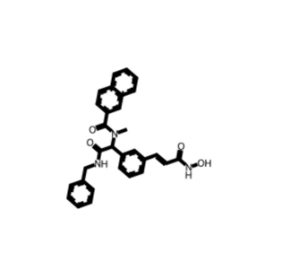 CN(C(=O)c1ccc2ccccc2c1)C(C(=O)NCc1ccccc1)c1cccc(/C=C/C(=O)NO)c1